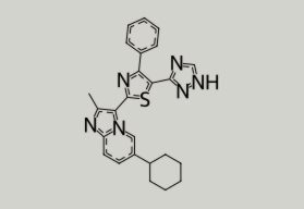 Cc1nc2ccc(C3CCCCC3)cn2c1-c1nc(-c2ccccc2)c(-c2nc[nH]n2)s1